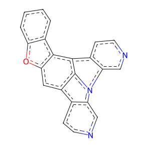 c1ccc2c(c1)oc1cc3c4ccncc4n4c5cnccc5c(c12)c34